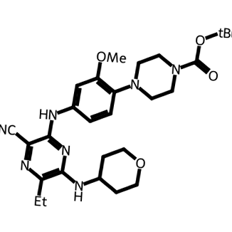 CCc1nc(C#N)c(Nc2ccc(N3CCN(C(=O)OC(C)(C)C)CC3)c(OC)c2)nc1NC1CCOCC1